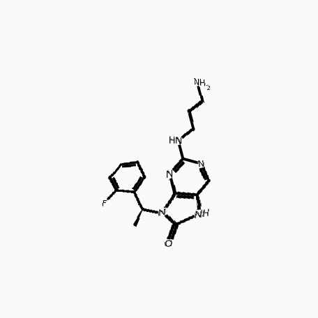 C[C@@H](c1ccccc1F)n1c(=O)[nH]c2cnc(NCCCN)nc21